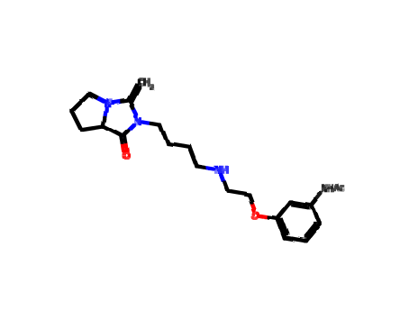 C=C1N(CCCCNCCOc2cccc(NC(C)=O)c2)C(=O)C2CCCN12